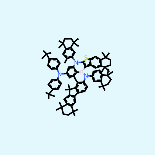 Cc1cc2c(cc1N1c3cc(N(c4ccc(C(C)(C)C)cc4)c4ccc(C(C)(C)C)cc4)cc4c3B(c3c1sc1cc5c(cc31)C(C)(C)CCC5(C)C)N(c1ccc3c(c1)C(C)(C)CCC3(C)C)c1ccc3c(c1-4)C(C)(C)c1cc4c(cc1-3)C(C)(C)CCC4(C)C)C(C)(C)CCC2(C)C